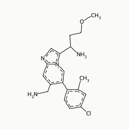 COCCC(N)c1cnc2cc(CN)c(-c3ccc(Cl)cc3C)cn12